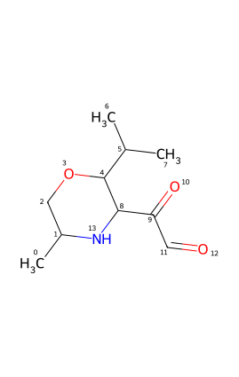 CC1COC(C(C)C)C(C(=O)C=O)N1